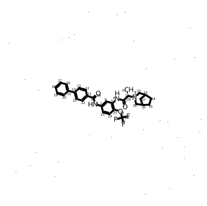 C[C@@H](C(=O)Nc1cc(NC(=O)c2ccc(-c3ccccc3)cc2)ccc1OC(F)(F)F)N1CC2CCC(C2)C1